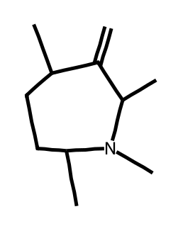 C=C1C(C)CCC(C)N(C)C1C